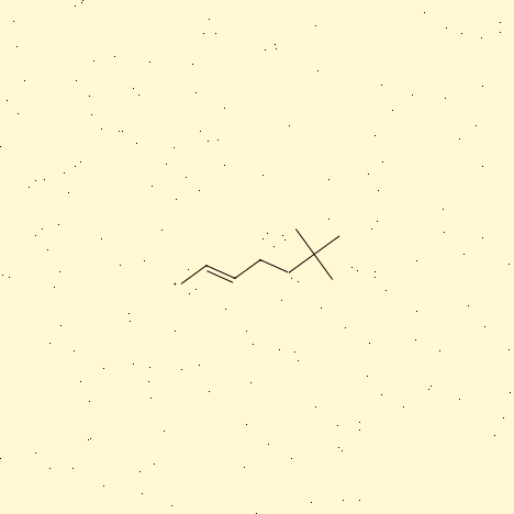 [CH2]C=CCCC(C)(C)C